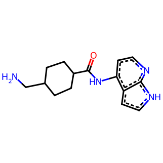 NCC1CCC(C(=O)Nc2ccnc3[nH]ccc23)CC1